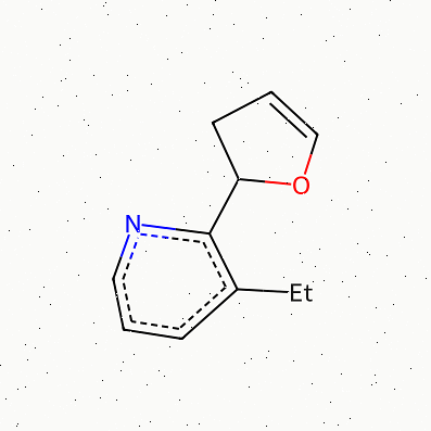 CCc1cccnc1C1CC=CO1